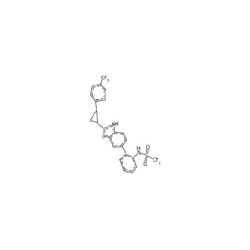 O=S(=O)(Nc1ccccc1-c1ccc2[nH]c(C3CC3c3ccc(C(F)(F)F)cc3)nc2c1)C(F)(F)F